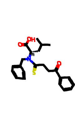 CC(C)C[C@@H](C(=O)O)N(Cc1ccccc1)C(=S)CCC(=O)c1ccccc1